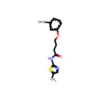 Cc1cnc(NC(=O)CCCOc2cccc(C=O)c2)s1